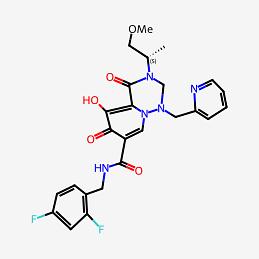 COC[C@H](C)N1CN(Cc2ccccn2)n2cc(C(=O)NCc3ccc(F)cc3F)c(=O)c(O)c2C1=O